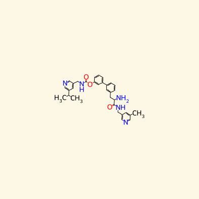 Cc1cncc(CNC(=O)C(N)Cc2cccc(-c3cccc(OC(=O)NCc4cncc(C(C)C)c4)c3)c2)c1